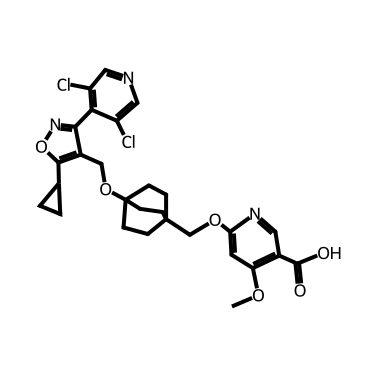 COc1cc(OCC23CCC(OCc4c(-c5c(Cl)cncc5Cl)noc4C4CC4)(CC2)CC3)ncc1C(=O)O